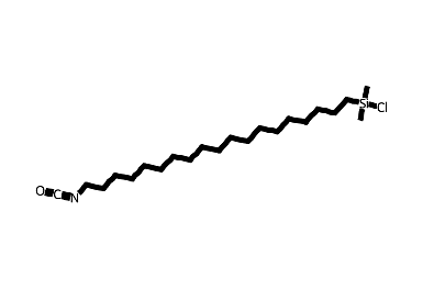 C[Si](C)(Cl)CCCCCCCCCCCCCCCCCCCN=C=O